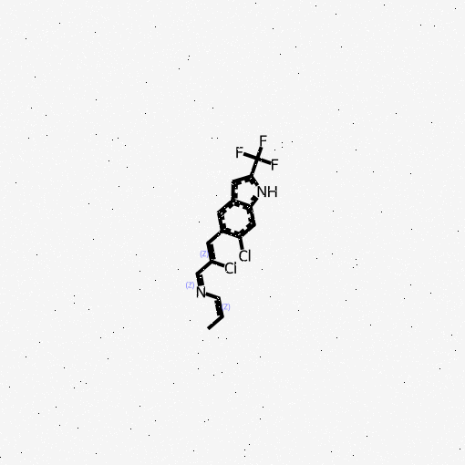 C\C=C/N=C\C(Cl)=C\c1cc2cc(C(F)(F)F)[nH]c2cc1Cl